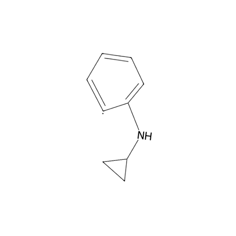 [c]1ccccc1NC1CC1